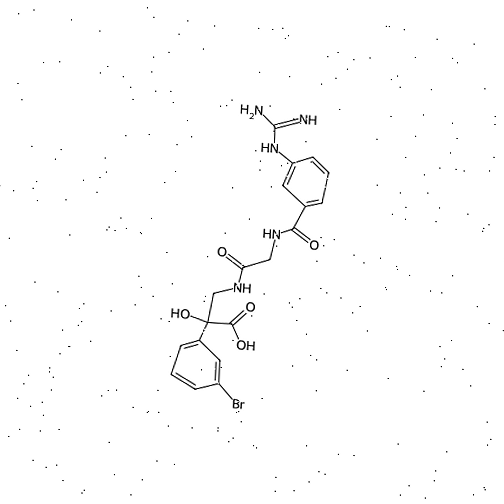 N=C(N)Nc1cccc(C(=O)NCC(=O)NCC(O)(C(=O)O)c2cccc(Br)c2)c1